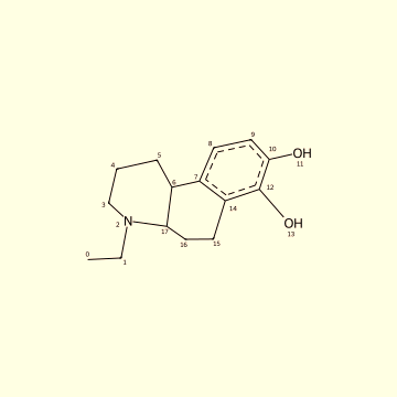 CCN1CCCC2c3ccc(O)c(O)c3CCC21